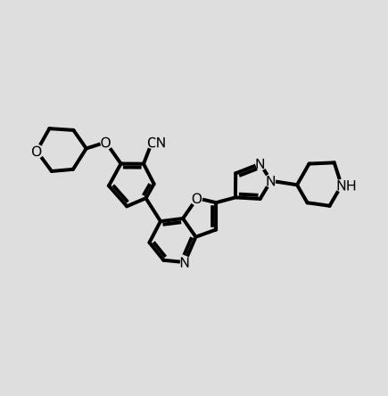 N#Cc1cc(-c2ccnc3cc(-c4cnn(C5CCNCC5)c4)oc23)ccc1OC1CCOCC1